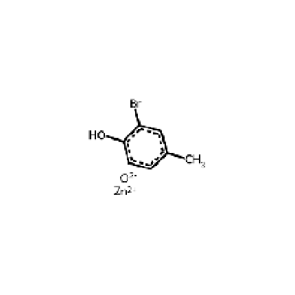 Cc1ccc(O)c(Br)c1.[O-2].[Zn+2]